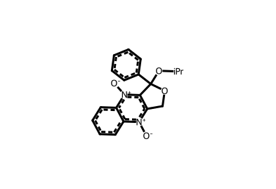 CC(C)OC1(c2ccccc2)OCc2c1[n+]([O-])c1ccccc1[n+]2[O-]